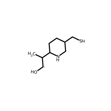 CC([C]O)C1CCC(CS)CN1